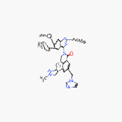 CNc1nc(N2CCc3c(cc(Cn4ccnc4)cc3-c3cn(C)nc3C(F)(F)F)C2=O)c2cc(OC)c(OC)cc2n1